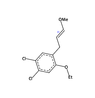 CCOc1cc(Cl)c(Cl)cc1C/C=C/OC